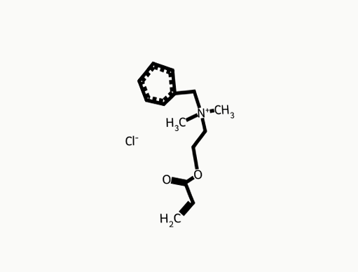 C=CC(=O)OCC[N+](C)(C)Cc1ccccc1.[Cl-]